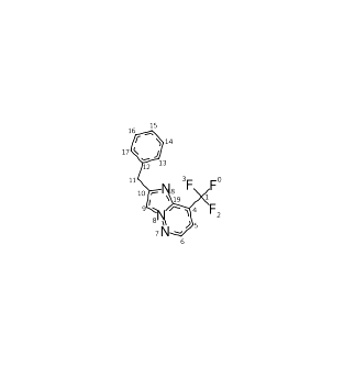 FC(F)(F)c1ccnn2cc(Cc3ccccc3)nc12